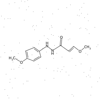 CO/C=C/C(=O)NNc1ccc(OC)cc1